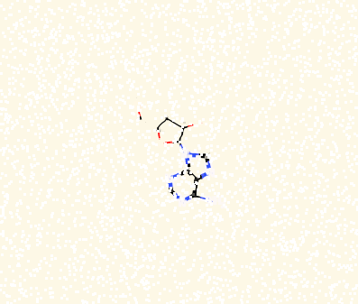 Nc1ncnc2c1ncn2C1O[C@H](CO)CC1O